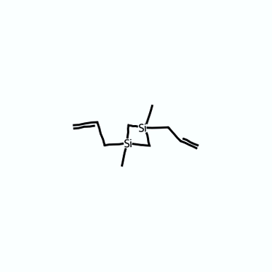 C=CC[Si]1(C)C[Si](C)(CC=C)C1